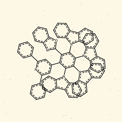 c1ccc(-c2cc(-c3c(-c4nc5ccccc5o4)c(-n4c5ccccc5c5ccccc54)c(-n4c5ccccc5c5ccccc54)c(-n4c5ccccc5c5ccccc54)c3-n3c4ccccc4c4ccccc43)cc(-c3ccccc3)n2)cc1